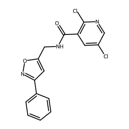 O=C(NCc1cc(-c2ccccc2)no1)c1cc(Cl)cnc1Cl